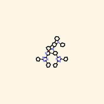 c1ccc(-c2nc(-c3ccccc3)nc(-c3ccc(-n4c5ccccc5c5cc6c7ccccc7n(-c7ccccc7)c6cc54)c(-c4ccnc(-c5nc(-c6ccccc6)nc(-c6ccccc6)n5)c4)c3)n2)cc1